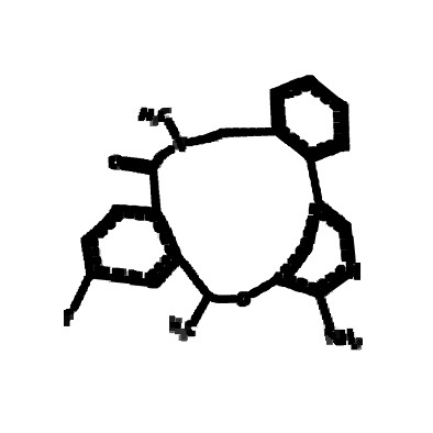 CC1Oc2cc(cnc2N)-c2ccccc2CN(C)C(=O)c2ccc(F)cc21